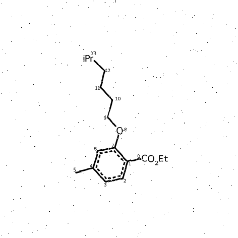 CCOC(=O)c1ccc(C)cc1OCCCCC(C)C